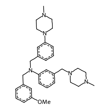 COc1cccc(CN(Cc2cccc(N3CCN(C)CC3)c2)c2cccc(CN3CCN(C)CC3)c2)c1